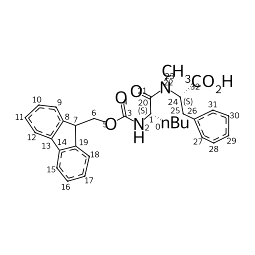 CCCC[C@H](NC(=O)OCC1c2ccccc2-c2ccccc21)C(=O)N(C)[C@@H](Cc1ccccc1)C(=O)O